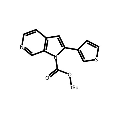 CC(C)(C)OC(=O)n1c(-c2ccsc2)cc2ccncc21